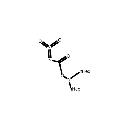 CCCCCCN(CCCCCC)OC(=O)N=S(=O)=O